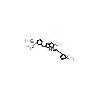 Cc1cccc(CC/C=C/[C@@H]2[C@H]3CC(Cc4cccc(N(C)C)c4)=C[C@H]3C[C@H]2O)c1